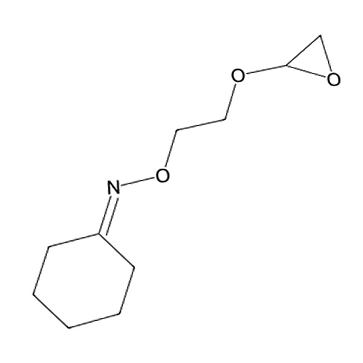 C1CCC(=NOCCOC2CO2)CC1